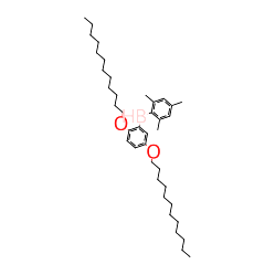 CCCCCCCCCCCCOc1ccc(OCCCCCCCCCCCC)c(Bc2c(C)cc(C)cc2C)c1